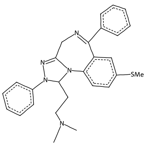 CSc1ccc2c(c1)C(c1ccccc1)=NCC1=NN(c3ccccc3)C(CCN(C)C)N12